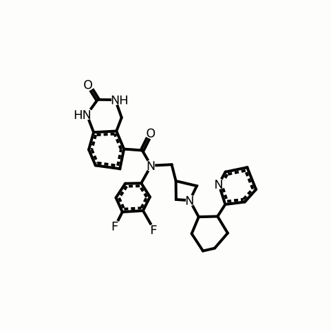 O=C1NCc2c(cccc2C(=O)N(CC2CN(C3CCCCC3c3ccccn3)C2)c2ccc(F)c(F)c2)N1